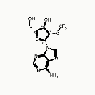 Nc1ncnc2c1ncn2[C@@H]1O[C@H](CO)[C@@H](O)[C@H]1OC(F)(F)F